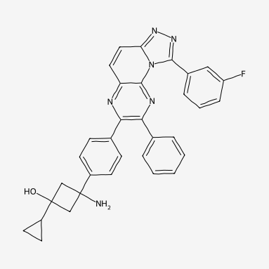 NC1(c2ccc(-c3nc4ccc5nnc(-c6cccc(F)c6)n5c4nc3-c3ccccc3)cc2)CC(O)(C2CC2)C1